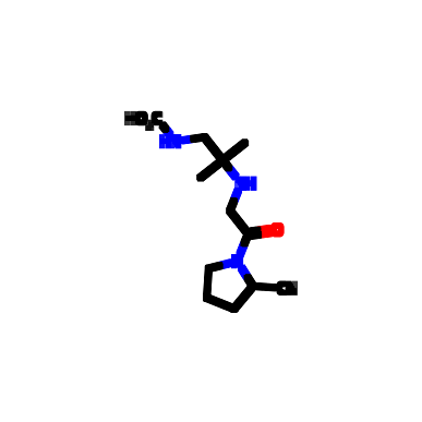 CC(C)(CNC(=O)O)NCC(=O)N1CCCC1C#N